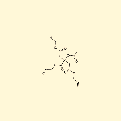 C=CCOC(=O)CC(CC(=O)OCC=C)(OC(C)=O)C(=O)OCC=C